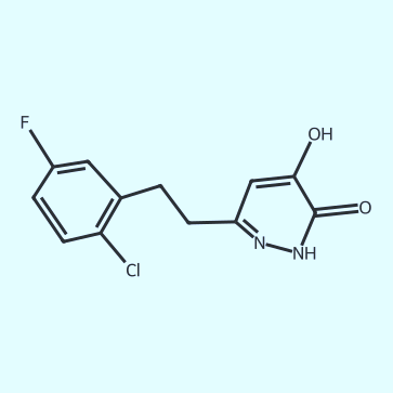 O=c1[nH]nc(CCc2cc(F)ccc2Cl)cc1O